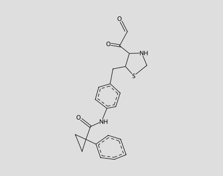 O=CC(=O)C1NCSC1Cc1ccc(NC(=O)C2(c3ccccc3)CC2)cc1